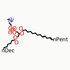 CCCCCC=CCC=CCCCCCCCC(=O)OC(COC(=O)CCCCCCCCCCCCCCC)COP(=O)([O-])OCC[N+](C)(C)C